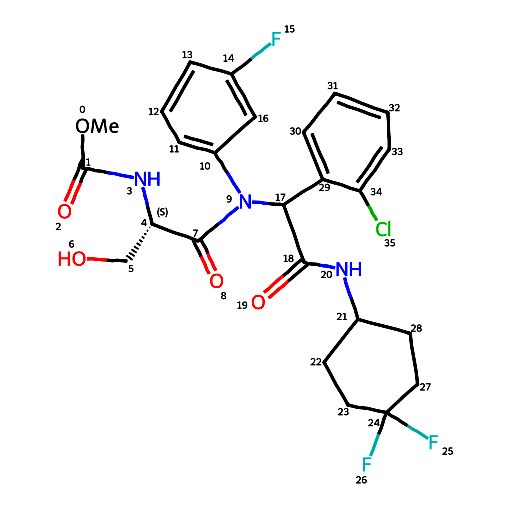 COC(=O)N[C@@H](CO)C(=O)N(c1cccc(F)c1)C(C(=O)NC1CCC(F)(F)CC1)c1ccccc1Cl